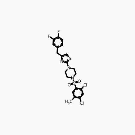 Cc1cc(S(=O)(=O)N2CCN(c3nc(Cc4ccc(F)c(F)c4)cs3)CC2)c(Cl)cc1Cl